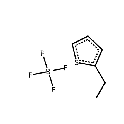 CCc1cccs1.F[B-](F)(F)F